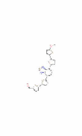 COc1ccc(-c2ccc(-c3ccc(-c4ccc(-c5ccc(C=O)s5)s4)c4nsnc34)s2)s1